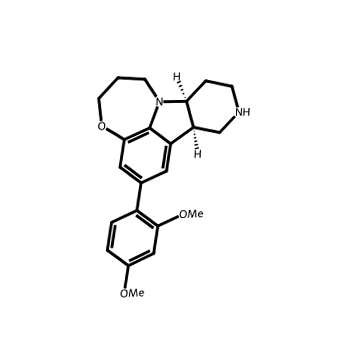 COc1ccc(-c2cc3c4c(c2)[C@@H]2CNCC[C@@H]2N4CCCO3)c(OC)c1